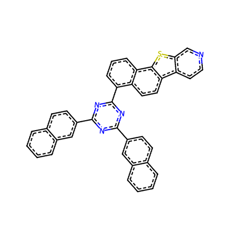 c1ccc2cc(-c3nc(-c4ccc5ccccc5c4)nc(-c4cccc5c4ccc4c6ccncc6sc54)n3)ccc2c1